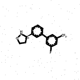 Fc1cc(-c2cccc([C@H]3CCON3)c2)cc(C(F)(F)F)c1